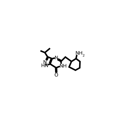 CC(C)c1n[nH]c2c(=O)[nH]c(CC3CCCCC3N)nc12